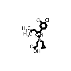 CC(C)Cc1sc(N(CCC(=O)O)CC2CC2)nc1-c1ccc(Cl)c(Cl)c1